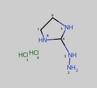 Cl.Cl.NNC1NCCN1